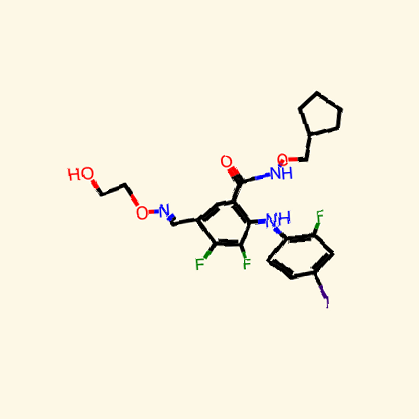 O=C(NOCC1CCCC1)c1cc(C=NOCCO)c(F)c(F)c1Nc1ccc(I)cc1F